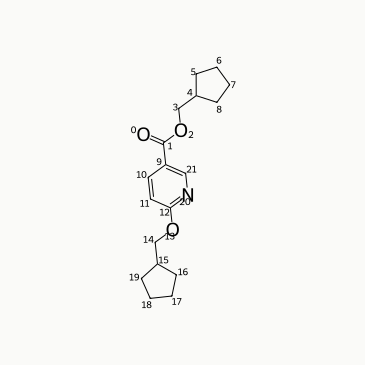 O=C(OCC1CCCC1)c1ccc(OCC2CCCC2)nc1